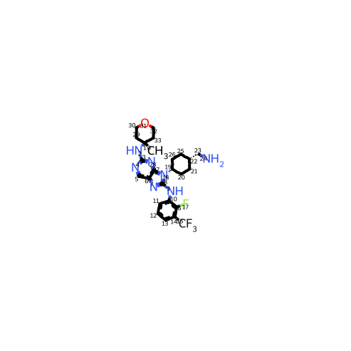 CC1(Nc2ncc3nc(Nc4cccc(C(F)(F)F)c4F)n([C@H]4CC[C@@H](CN)CC4)c3n2)CCOCC1